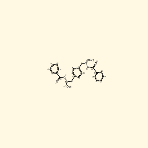 CCCCCCCCN(Cc1ccc(CN(CCCCCCCC)OC(=O)c2ccccc2)cc1)OC(=O)c1ccccc1